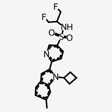 Cc1ccc2cc(-c3ccc(S(=O)(=O)NC(CF)CF)cn3)n(C3CCC3)c2c1